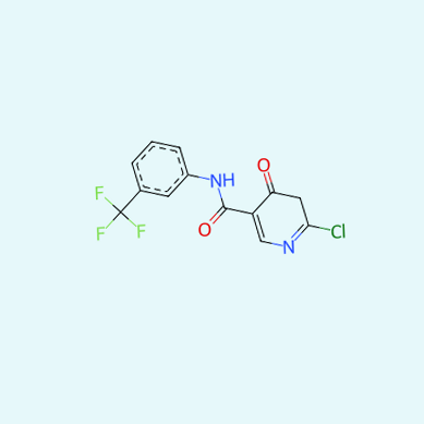 O=C1CC(Cl)=NC=C1C(=O)Nc1cccc(C(F)(F)F)c1